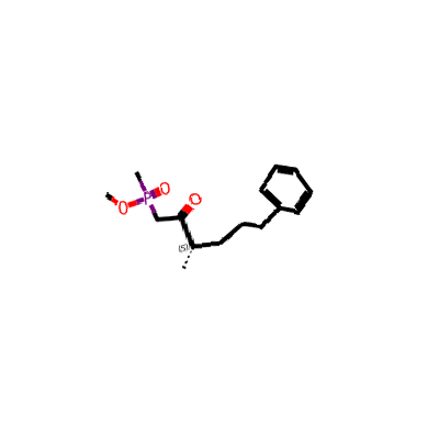 COP(C)(=O)CC(=O)[C@@H](C)CCCc1ccccc1